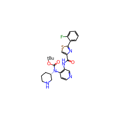 CC(C)(C)OC(=O)N(c1ccncc1NC(=O)c1csc(-c2ccccc2F)n1)[C@H]1CCCNC1